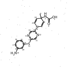 CC1(NC(=O)O)C=CN(c2cnc(Sc3cccc(N)c3)cn2)C=C1